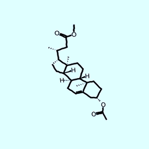 COC(=O)C[C@@H](C)[C@H]1CC[C@H]2[C@@H]3CC=C4C[C@@H](OC(C)=O)CC[C@]4(C)[C@H]3CC[C@]12C